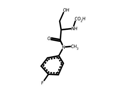 CN(C(=O)C(CO)NC(=O)O)c1ccc(F)cc1